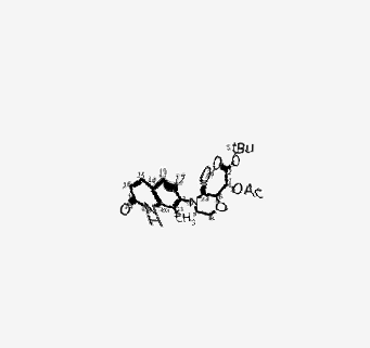 CC(=O)O[C@@H](C(=O)OC(C)(C)C)[C@H]1OCCN(c2ccc3ccc(=O)[nH]c3c2C)C1=O